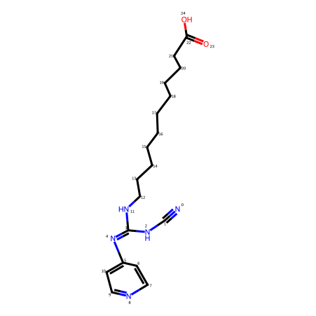 N#CNC(=Nc1ccncc1)NCCCCCCCCCCC(=O)O